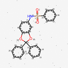 O=S(=O)(Nc1ccc2c(c1)OC(c1ccccc1)(c1ccccc1)O2)c1ccccc1